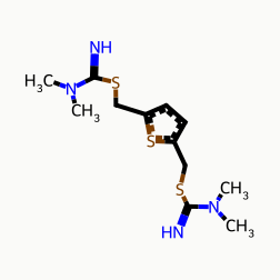 CN(C)C(=N)SCc1ccc(CSC(=N)N(C)C)s1